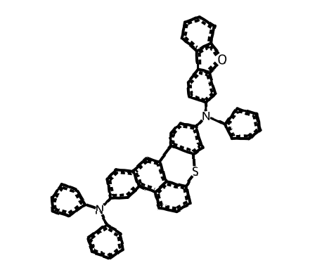 c1ccc(N(c2ccc3c(c2)Sc2cccc4c2c-3cc2ccc(N(c3ccccc3)c3ccccc3)cc24)c2ccc3c(c2)oc2ccccc23)cc1